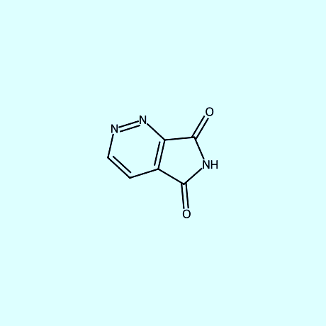 O=C1NC(=O)c2nnccc21